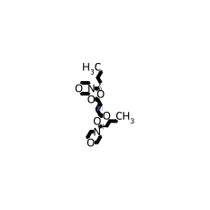 CCCC[C@H](OC(=O)/C=C/C(=O)O[C@@H](CCCC)N1CCOCC1)N1CCOCC1